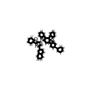 c1ccc(-c2ccc3c4cc5c(c6ccccc6n5-c5nc(-c6ccc7ccccc7c6)nc6c5oc5ccccc56)c5c6ccccc6n(c3c2)c45)cc1